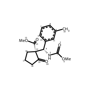 COC(=O)N[C@@H](c1cccc(C)c1)[C@]1(C(=O)OC)CCCC1=O